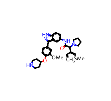 C=C/C(=C\SC)C(C(=O)Nc1ccc2[nH]nc(-c3ccc(OC4CCNCC4)c(OC)c3)c2c1)N1CCCC1